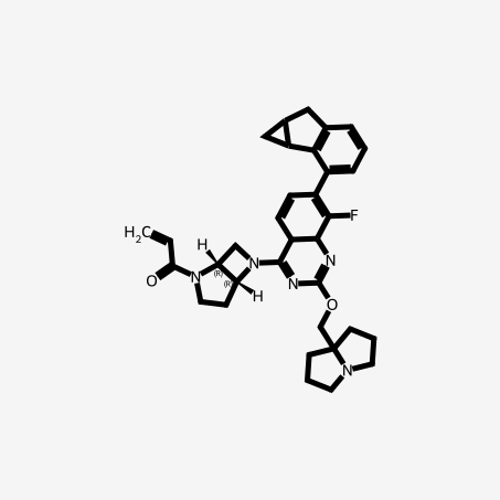 C=CC(=O)N1CC[C@@H]2[C@H]1CN2C1=NC(OCC23CCCN2CCC3)=NC2C(F)=C(c3cccc4c3C3CC3C4)C=CC12